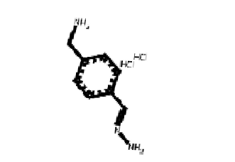 Cl.Cl.NCc1ccc(C=NN)cc1